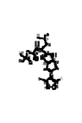 Cc1noc(C)c1-c1ccc2[nH]c(C(CC(C)C)NC(=O)OC(C)(C)C)nc2c1